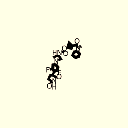 CN(C(=O)C12CC(OC(=O)NC3CN(c4cc(F)c(C5CCC(=O)NC5=O)c(F)c4)C3)(C1)C2)c1ccccc1